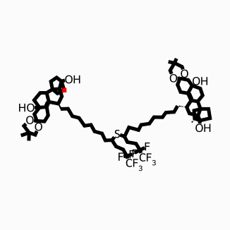 CC1(C)COC2(CCC3=C4C(CCC3(O)C2)C23CCC(O)(CC2)[C@@]3(C)C[C@H]4CCCCCCCCCC(CCC(F)(F)C(F)(F)F)SC(CCCCCCCCC[C@H]2C[C@]3(C)C4(O)CCC3(CC4)C3CCC4(O)CC5(CCC4=C32)OCC(C)(C)CO5)CCC(F)(F)C(F)(F)F)OC1